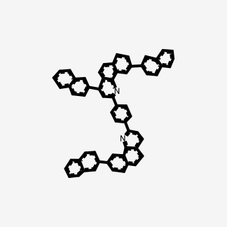 c1ccc2cc(-c3ccc4ccc5ccc(-c6ccc(-c7cc(-c8ccc9ccccc9c8)c8ccc9ccc(-c%10ccc%11ccccc%11c%10)cc9c8n7)cc6)nc5c4c3)ccc2c1